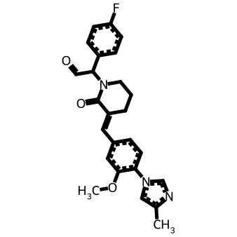 COc1cc(C=C2CCCN(C(C=O)c3ccc(F)cc3)C2=O)ccc1-n1cnc(C)c1